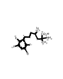 CC(CCCc1c(F)c(F)cc(F)c1F)CC(C)(N)C(=O)O